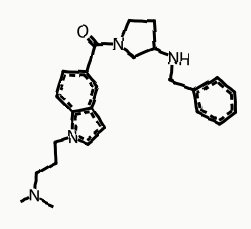 CN(C)CCCn1ccc2cc(C(=O)N3CCC(NCc4ccccc4)C3)ccc21